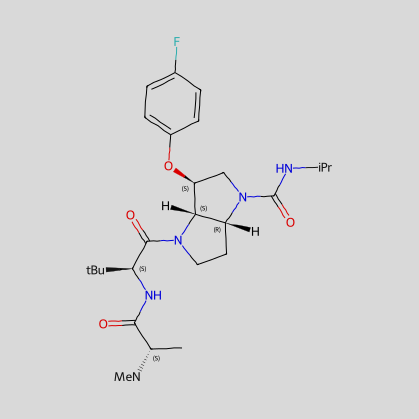 CN[C@@H](C)C(=O)N[C@H](C(=O)N1CC[C@@H]2[C@H]1[C@@H](Oc1ccc(F)cc1)CN2C(=O)NC(C)C)C(C)(C)C